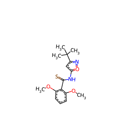 COc1cccc(OC)c1C(=S)Nc1cc(C(C)(C)C)no1